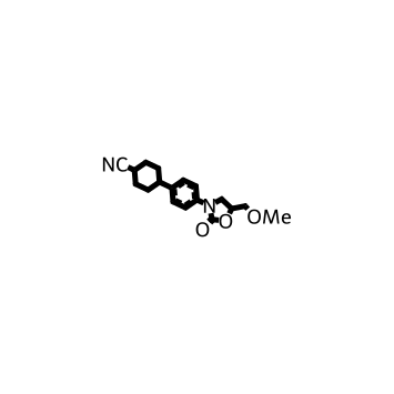 COCC1CN(c2ccc(C3CCC(C#N)CC3)cc2)C(=O)O1